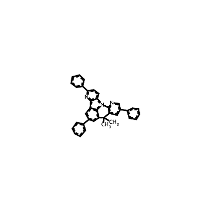 CC1(C)c2cc(-c3ccccc3)cnc2-n2c3ccc(-c4ccccc4)nc3c3cc(-c4ccccc4)cc1c32